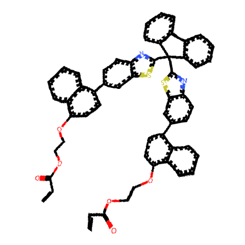 C=CC(=O)OCCOc1ccc(-c2ccc3nc(C4(c5nc6ccc(-c7ccc(OCCOC(=O)C=C)c8ccccc78)cc6s5)c5ccccc5-c5ccccc54)sc3c2)c2ccccc12